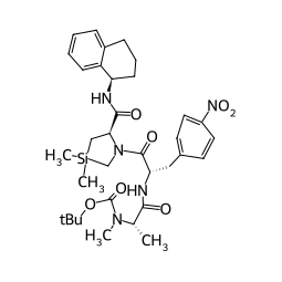 C[C@@H](C(=O)N[C@@H](Cc1ccc([N+](=O)[O-])cc1)C(=O)N1C[Si](C)(C)C[C@H]1C(=O)N[C@@H]1CCCc2ccccc21)N(C)C(=O)OC(C)(C)C